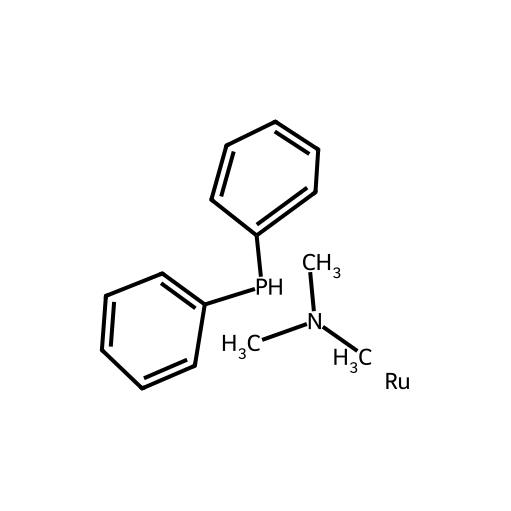 CN(C)C.[Ru].c1ccc(Pc2ccccc2)cc1